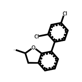 [CH2]C1Cc2cccc(-c3ccc(Cl)cc3Cl)c2O1